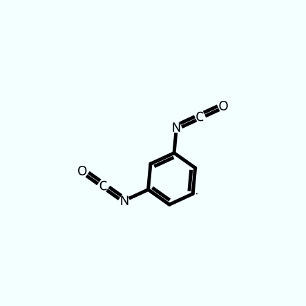 O=C=Nc1c[c]cc(N=C=O)c1